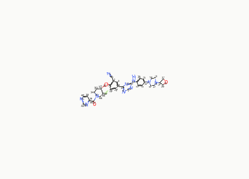 N#Cc1cc(-c2ncnc(Nc3ccc(N4CCN(C5COC5)CC4)cc3)n2)ccc1OC1CCN(C(=O)c2ccncn2)CC1F